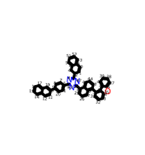 C1=CC(c2nc(-c3ccc(-c4ccc5ccccc5c4)cc3)nc(-c3cccc4c(-c5cccc6oc7ccccc7c56)cccc34)n2)Cc2ccccc21